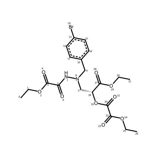 CCOC(=O)C(=O)NN(Cc1ccc(Br)cc1)C[C@@H](OC(=O)C(=O)OCC)C(=O)OCC